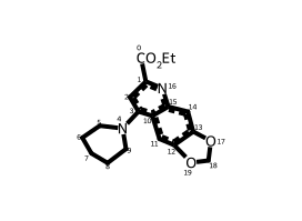 CCOC(=O)c1cc(N2CCCCC2)c2cc3c(cc2n1)OCO3